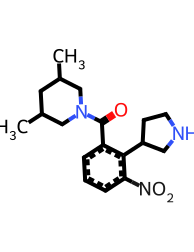 CC1CC(C)CN(C(=O)c2cccc([N+](=O)[O-])c2C2CCNC2)C1